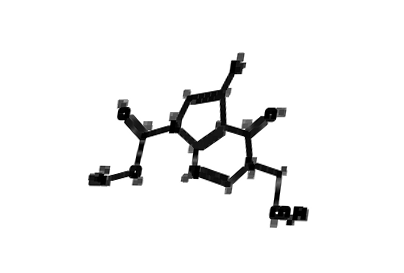 CCOC(=O)Cn1cnc2c(c(Br)cn2C(=O)OC(C)(C)C)c1=O